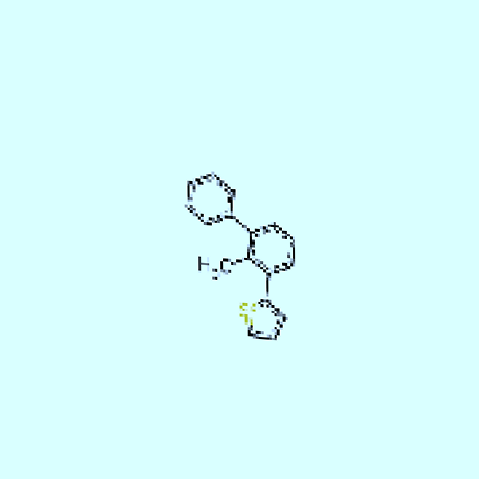 Cc1c(-c2ccccc2)cccc1-c1cccs1